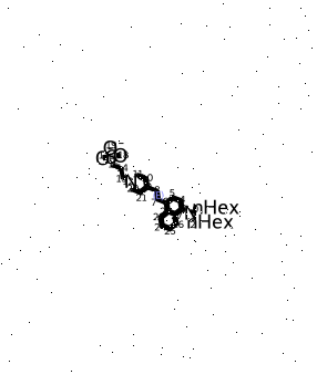 CCCCCCN(CCCCCC)c1ccc(/C=C/c2cc[n+](CCCS(=O)(=O)[O-])cc2)c2ccccc12